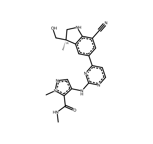 CNC(=O)c1c(Nc2nccc(-c3cc(C#N)c4c(c3)[C@@](C)(CO)CN4)n2)cnn1C